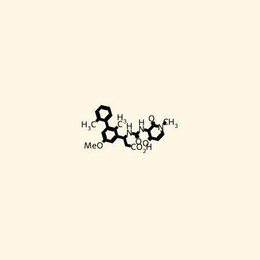 COc1cc(-c2ccccc2C)c(C)c(C(CC(=O)O)NC(=O)NC2C(=O)C=CN(C)C2=O)c1